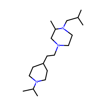 CC(C)CN1CCN(CCC2CCN(C(C)C)CC2)CC1C